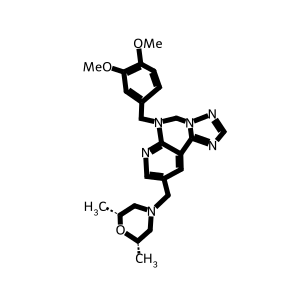 COc1ccc(CN2Cn3ncnc3-c3cc(CN4C[C@@H](C)O[C@@H](C)C4)cnc32)cc1OC